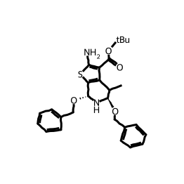 CC1c2c(sc(N)c2C(=O)OC(C)(C)C)[C@@H](OCc2ccccc2)N[C@@H]1OCc1ccccc1